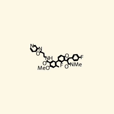 CNC(=O)c1c(-c2ccc(F)cc2)oc2ccc(-c3cc(C(=O)NCCc4nc5cnccc5o4)c(OC)cc3C)c(F)c12